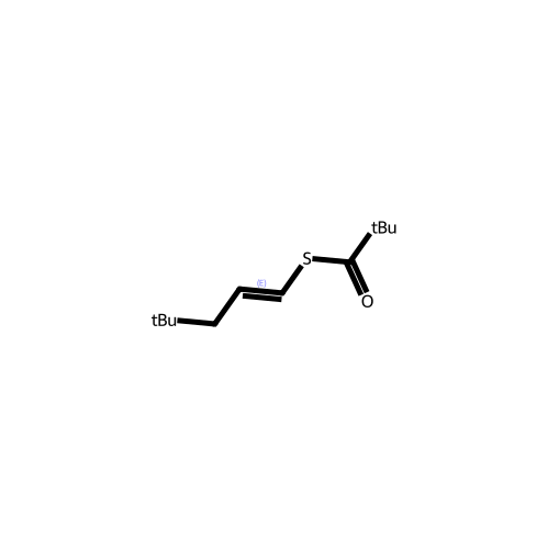 CC(C)(C)C/C=C/SC(=O)C(C)(C)C